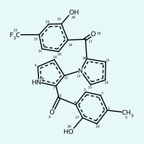 Cc1ccc(C(=O)c2[nH]ccc2-n2cccc2C(=O)c2ccc(C(F)(F)F)cc2O)c(O)c1